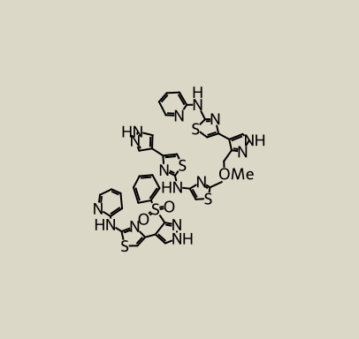 COCc1n[nH]cc1-c1csc(Nc2ccccn2)n1.Cc1nc(Nc2nc(-c3cn[nH]c3)cs2)cs1.O=S(=O)(c1ccccc1)c1n[nH]cc1-c1csc(Nc2ccccn2)n1